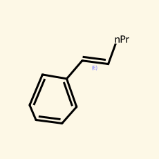 C[CH]C/C=C/c1ccccc1